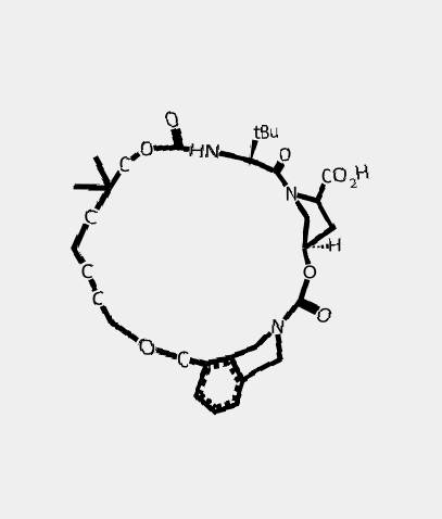 CC1(C)CCCCCOCc2cccc3c2CN(C3)C(=O)O[C@@H]2CC(C(=O)O)N(C2)C(=O)[C@H](C(C)(C)C)NC(=O)OC1